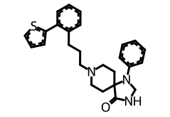 O=C1NCN(c2ccccc2)C12CCN(CCCc1ccccc1-c1cccs1)CC2